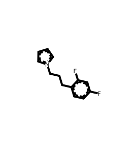 Fc1ccc(CCCn2cccc2)c(F)c1